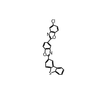 Clc1ccc2oc(-c3ccc4oc(-c5ccc6sc7ccccc7c6c5)nc4c3)nc2c1